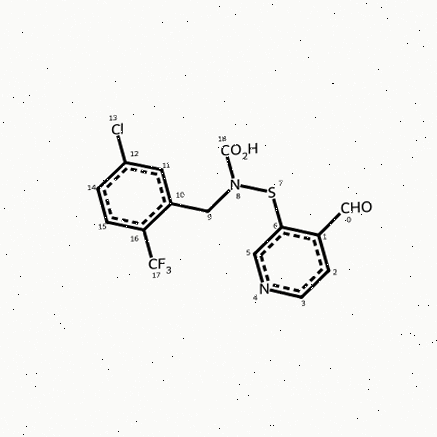 O=Cc1ccncc1SN(Cc1cc(Cl)ccc1C(F)(F)F)C(=O)O